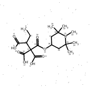 CCC(C(=O)O)C(C(=O)O)(C(=O)O)C(=O)OC1CC(C)(C)N(C)C(C)(C)C1